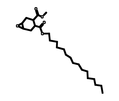 CCCCCCCCCCCCCCCCOC(=O)C1CC2OC2CC1C(=O)OC